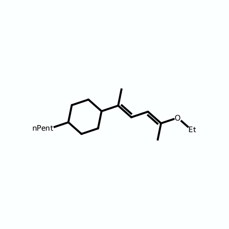 CCCCCC1CCC(/C(C)=C/C=C(\C)OCC)CC1